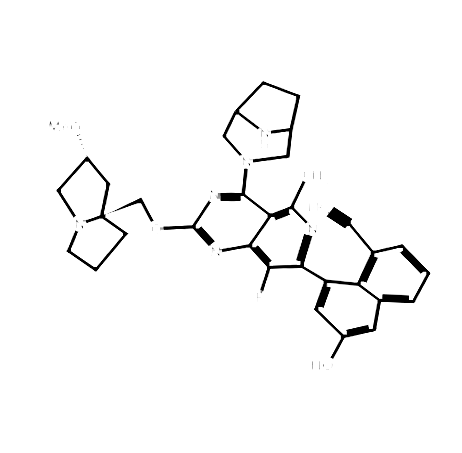 C#Cc1cccc2cc(O)cc(-c3nc(C)c4c(N5CC6CCC(C5)N6)nc(OC[C@@]56CCCN5C[C@H](OC)C6)nc4c3F)c12